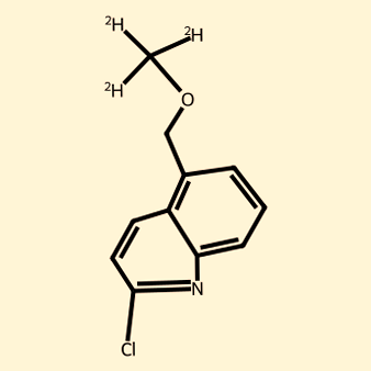 [2H]C([2H])([2H])OCc1cccc2nc(Cl)ccc12